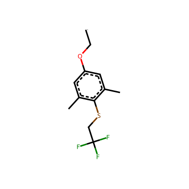 [CH2]COc1cc(C)c(SCC(F)(F)F)c(C)c1